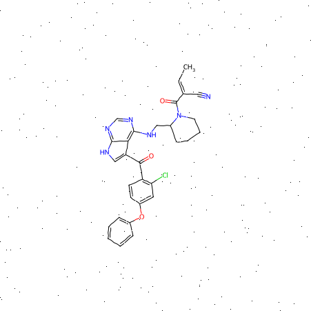 C/C=C(\C#N)C(=O)N1CCCCC1CNc1ncnc2[nH]cc(C(=O)c3ccc(Oc4ccccc4)cc3Cl)c12